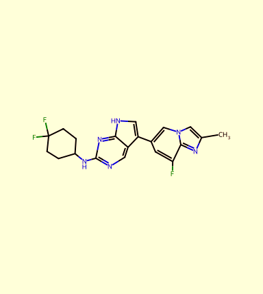 Cc1cn2cc(-c3c[nH]c4nc(NC5CCC(F)(F)CC5)ncc34)cc(F)c2n1